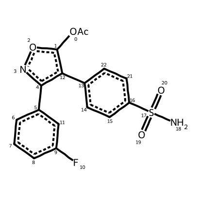 CC(=O)Oc1onc(-c2cccc(F)c2)c1-c1ccc(S(N)(=O)=O)cc1